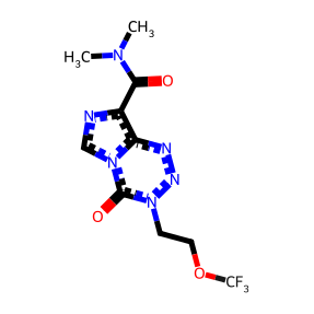 CN(C)C(=O)c1ncn2c(=O)n(CCOC(F)(F)F)nnc12